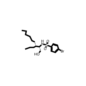 CCCCCC[C@@H](CCC)[C@@H](CO)NS(=O)(=O)c1ccc(Br)cc1